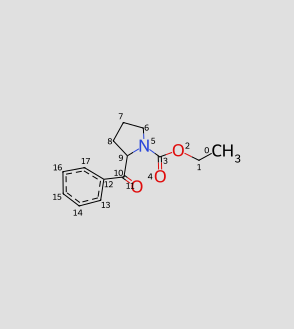 CCOC(=O)N1CCCC1C(=O)c1ccccc1